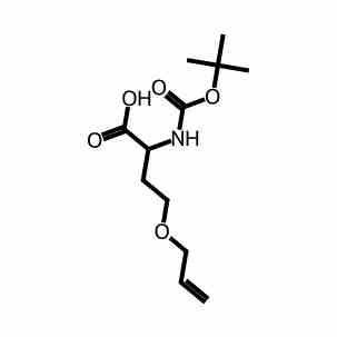 C=CCOCCC(NC(=O)OC(C)(C)C)C(=O)O